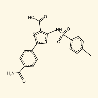 Cc1ccc(S(=O)(=O)Nc2cc(-c3ccc(C(N)=O)cc3)sc2C(=O)O)cc1